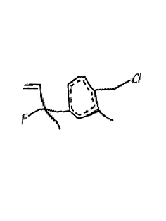 C=CC(C)(F)c1ccc(Cl)c(C)c1